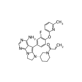 C=CC(=O)N1CCC[C@H](N2CCn3c2c(-c2ccc(Oc4cccc(C)n4)c(F)c2)c2c(N)ncnc23)C1